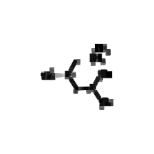 B.B.C[P@](CP(C(C)(C)C)C(C)(C)C)C(C)(C)C